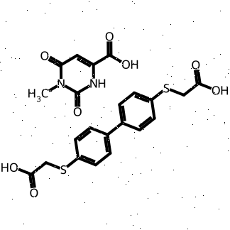 Cn1c(=O)cc(C(=O)O)[nH]c1=O.O=C(O)CSc1ccc(-c2ccc(SCC(=O)O)cc2)cc1